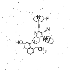 CCc1cccc2cc(O)cc(N3CCc4c(nc(C#CC56CCCN5C[C@H](F)C6)c(C#N)c4N4CC5CCC(C4)N5)C3)c12